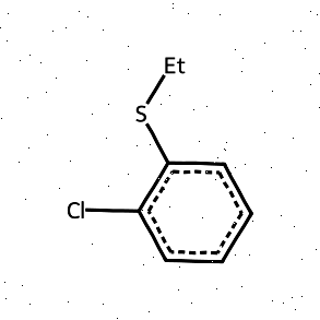 CCSc1ccccc1Cl